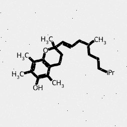 Cc1c(C)c2c(c(C)c1O)CCC(C)(C=CCC(C)CCCC(C)C)O2